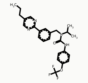 CCCc1cnc(-c2cccc(CN(C(=O)Nc3ccc(OC(F)(F)F)cc3)C(C)C)c2)nc1